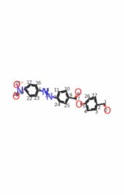 O=Cc1ccc(OC(=O)c2ccc(N=Nc3ccc([N+](=O)[O-])cc3)cc2)cc1